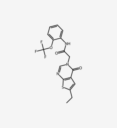 CCc1cc2c(=O)n(CC(=O)Nc3ccccc3OC(F)(F)F)cnc2s1